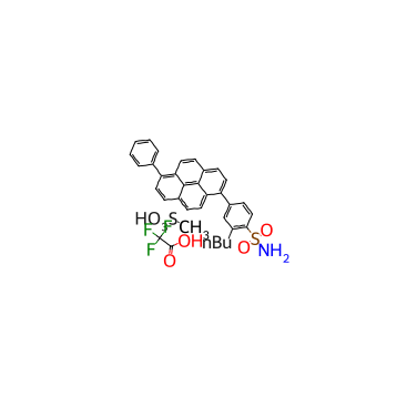 CCCCc1cc(-c2ccc3ccc4c(-c5ccccc5)ccc5ccc2c3c54)ccc1S(N)(=O)=O.CS(=O)(=O)O.O=C(O)C(F)(F)F